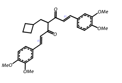 COc1ccc(/C=C/C(=O)C(CC2CCC2)C(=O)/C=C/c2ccc(OC)c(OC)c2)cc1OC